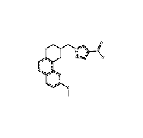 COc1ccc2ncc3c(c2c1)CC(Cn1cc([N+](=O)[O-])cn1)CO3